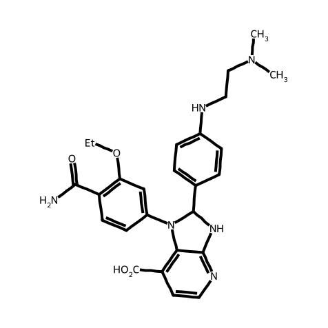 CCOc1cc(N2c3c(C(=O)O)ccnc3NC2c2ccc(NCCN(C)C)cc2)ccc1C(N)=O